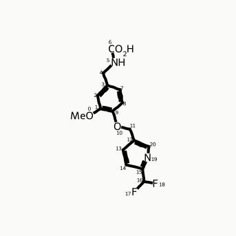 COc1cc(CNC(=O)O)ccc1OCc1ccc(C(F)F)nc1